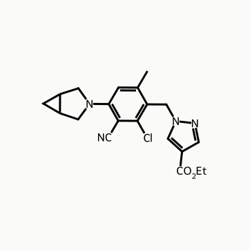 CCOC(=O)c1cnn(Cc2c(C)cc(N3CC4CC4C3)c(C#N)c2Cl)c1